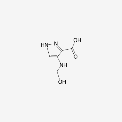 O=C(O)c1n[nH]cc1NCO